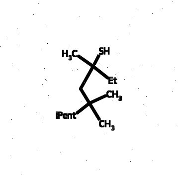 CCCC(C)C(C)(C)CC(C)(S)CC